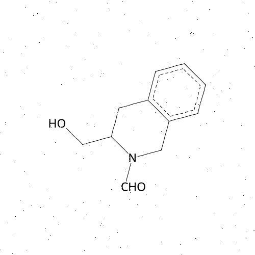 O=CN1Cc2ccccc2CC1CO